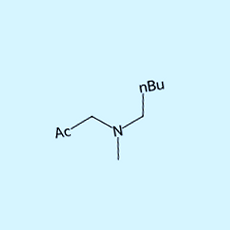 CCCCCN(C)CC(C)=O